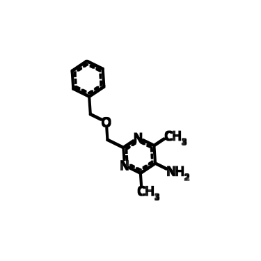 Cc1nc(COCc2ccccc2)nc(C)c1N